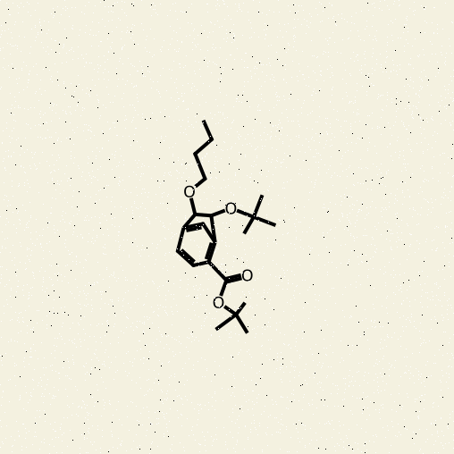 CCCCOC1c2ccc(C(=O)OC(C)(C)C)c(c2)C1OC(C)(C)C